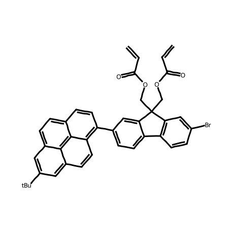 C=CC(=O)OCC1(COC(=O)C=C)c2cc(Br)ccc2-c2ccc(-c3ccc4ccc5cc(C(C)(C)C)cc6ccc3c4c56)cc21